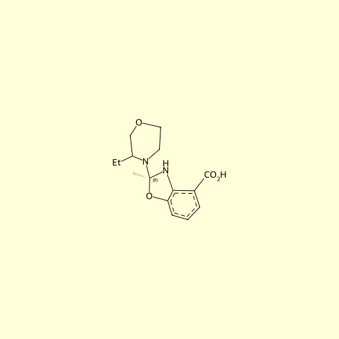 CCC1COCCN1[C@@]1(C)Nc2c(cccc2C(=O)O)O1